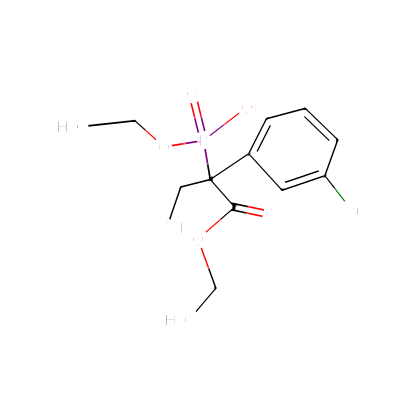 CCOC(=O)C(CC)(c1cccc(Br)c1)P(=O)(O)OCC